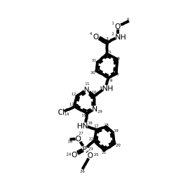 CONC(=O)c1ccc(Nc2ncc(Cl)c(Nc3ccccc3P(=O)(OC)OC)n2)cc1